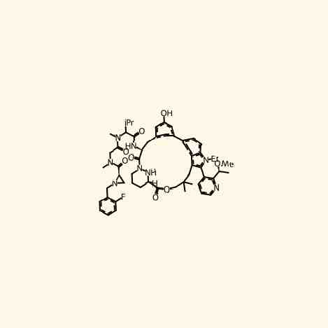 CCn1c(-c2cccnc2[C@H](C)OC)c2c3cc(ccc31)-c1cc(O)cc(c1)C[C@H](NC(=O)C(C(C)C)N(C)C(=O)CN(C)C(=O)[C@H]1CN1Cc1ccccc1F)C(=O)N1CCC[C@H](N1)C(=O)OCC(C)(C)C2